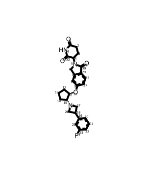 O=C1CCC(N2Cc3cc(O[C@@H]4CCC[C@H]4N4CC(c5cccc(F)c5)C4)ccc3C2=O)C(=O)N1